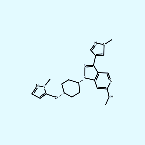 CNc1cc2c(cn1)c(-c1cnn(C)c1)nn2[C@H]1CC[C@@H](Oc2ccnn2C)CC1